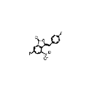 O=C1OC(=Cc2ccc(F)cc2)c2c1cc(F)cc2[N+](=O)[O-]